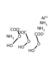 N.N.N.O=C([O-])OO.O=C([O-])OO.O=C([O-])OO.[Al+3]